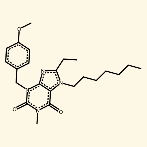 CCCCCCCn1c(CC)nc2c1c(=O)n(C)c(=O)n2Cc1ccc(OC)cc1